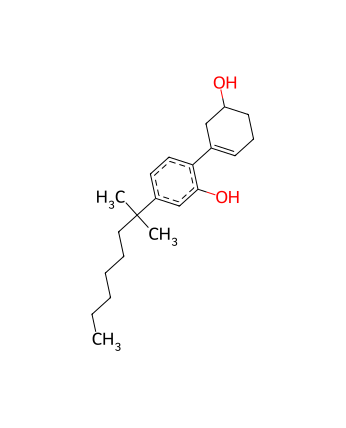 CCCCCCC(C)(C)c1ccc(C2=CCCC(O)C2)c(O)c1